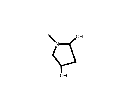 CN1CC(O)CC1O